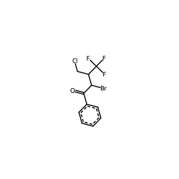 O=C(c1ccccc1)C(Br)C(CCl)C(F)(F)F